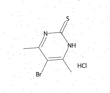 Cc1nc(=S)[nH]c(C)c1Br.Cl